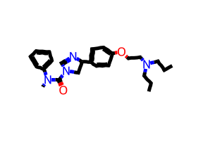 CCCN(CCC)CCOc1ccc(C2CN(C(=O)N(C)c3ccccc3)C=N2)cc1